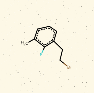 Cc1cccc(CCBr)c1F